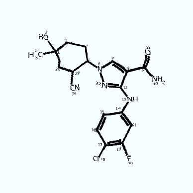 CC1(O)CCC(n2cc(C(N)=O)c(Nc3ccc(Cl)c(F)c3)n2)C(C#N)C1